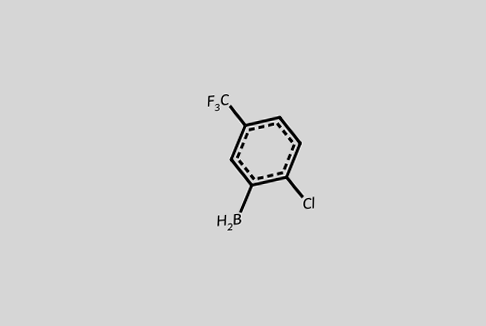 Bc1cc(C(F)(F)F)ccc1Cl